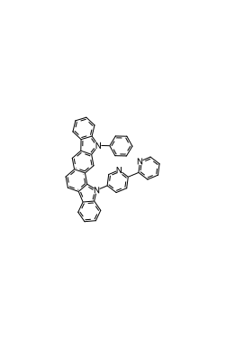 c1ccc(-n2c3ccccc3c3cc4ccc5c6ccccc6n(-c6ccc(-c7ccccn7)nc6)c5c4cc32)cc1